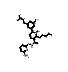 C=C(NSc1cccc(N)n1)C1=C(CCCCC)N(C)C(c2cc(F)cc(CCC(C)C)c2)C=C1